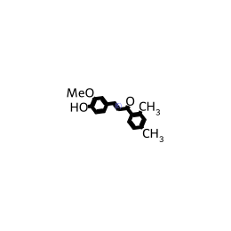 COc1cc(/C=C/C(=O)c2ccc(C)cc2C)ccc1O